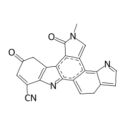 CN1C=c2c(c3c(c4c2=C2N=CC=C2CC=4)=NC2=C3CC(=O)C=C2C#N)C1=O